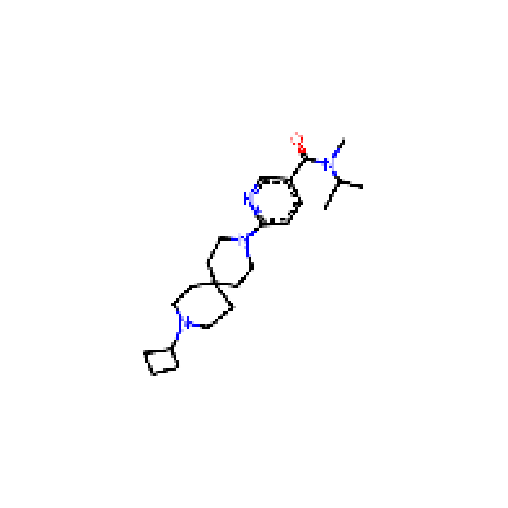 CC(C)N(C)C(=O)c1ccc(N2CCC3(CC2)CCN(C2CCC2)CC3)nc1